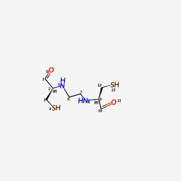 O=C[C@H](CS)NCCN[C@H](C=O)CS